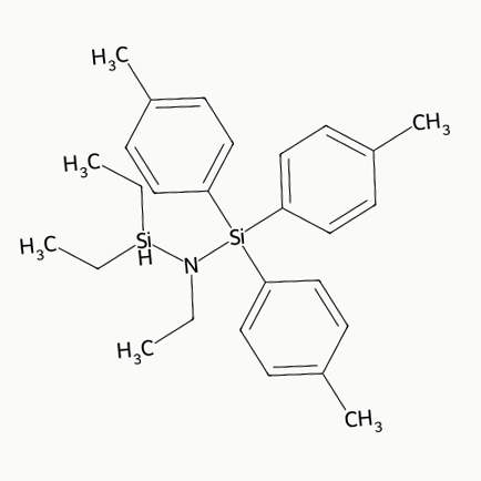 CCN([SiH](CC)CC)[Si](c1ccc(C)cc1)(c1ccc(C)cc1)c1ccc(C)cc1